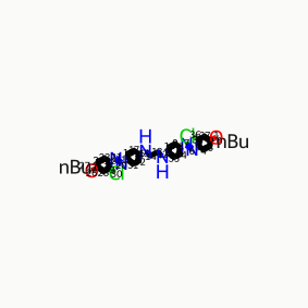 CCCCOc1ccc(/N=N/c2ccc(NCCNc3ccc(/N=N/c4ccc(OCCCC)cc4Cl)cc3)cc2)c(Cl)c1